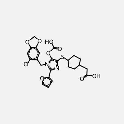 O=C(O)CC1CCC(Sc2nc(-c3ccco3)n(Cc3cc4c(cc3Cl)OCO4)c2OC(=O)O)CC1